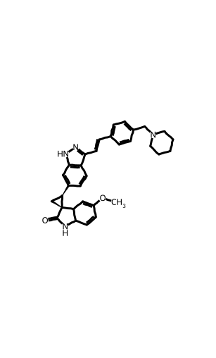 COC1=CC2C(C=C1)NC(=O)[C@@]21C[C@H]1c1ccc2c(/C=C/c3ccc(CN4CCCCC4)cc3)n[nH]c2c1